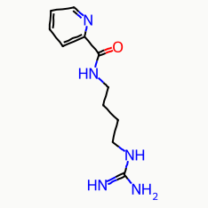 N=C(N)NCCCCNC(=O)c1ccccn1